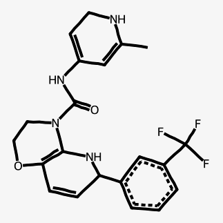 CC1=CC(NC(=O)N2CCOC3=C2NC(c2cccc(C(F)(F)F)c2)C=C3)=CCN1